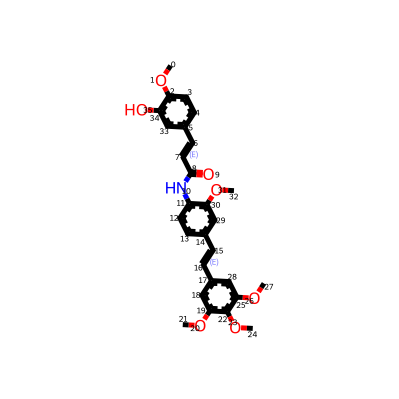 COc1ccc(/C=C/C(=O)Nc2ccc(/C=C/c3cc(OC)c(OC)c(OC)c3)cc2OC)cc1O